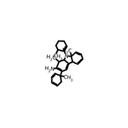 CC1CCCC=C1N1C2C(=CC(C3(C)C=CC=CC3)=C(N)C2C)C2C=CC=CC21C